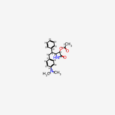 CC(=O)OC1C(=O)NC1C(Cc1ccc(N(C)C)cc1)c1ccccc1